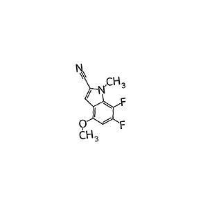 COc1cc(F)c(F)c2c1cc(C#N)n2C